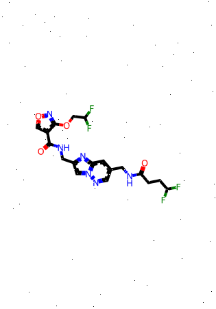 O=C(CCC(F)F)NCc1cnn2cc(CNC(=O)c3conc3OCC(F)F)nc2c1